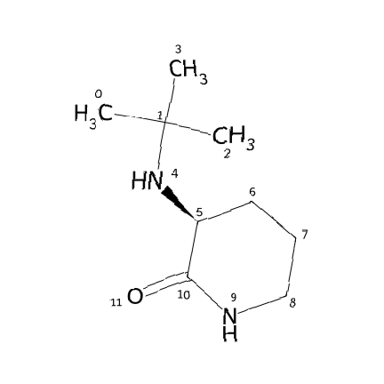 CC(C)(C)N[C@H]1CCCNC1=O